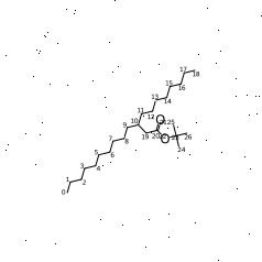 CCCCCCCCCCC(CCCCCCCC)CC(=O)OC(C)(C)C